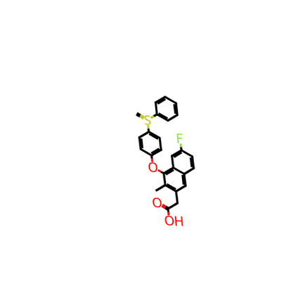 C=S(c1ccccc1)c1ccc(Oc2c(C)c(CC(=O)O)cc3ccc(F)cc23)cc1